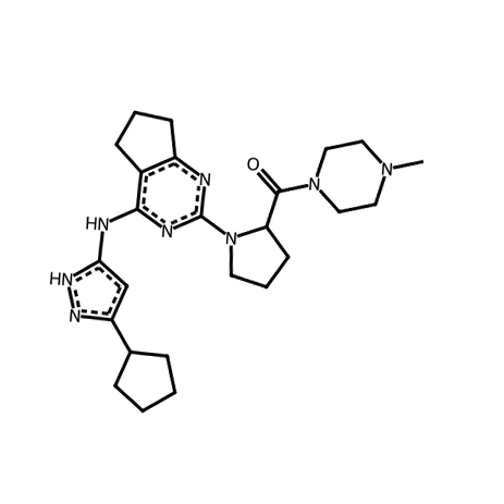 CN1CCN(C(=O)C2CCCN2c2nc3c(c(Nc4cc(C5CCCC5)n[nH]4)n2)CCC3)CC1